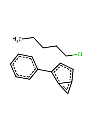 CCCCCCl.c1ccc(-c2ccc3cc2-3)cc1